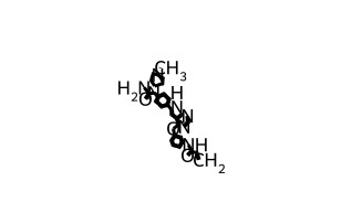 C=CC(=O)Nc1cccc(Oc2ncnc3[nH]c(-c4ccc(N(C(N)=O)C5CCN(C)CC5)cc4)cc23)c1